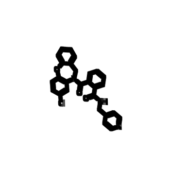 O=C(NCc1ccncc1)c1ccccc1C(=O)N1Cc2ccccc2Oc2ccc(Cl)cc21